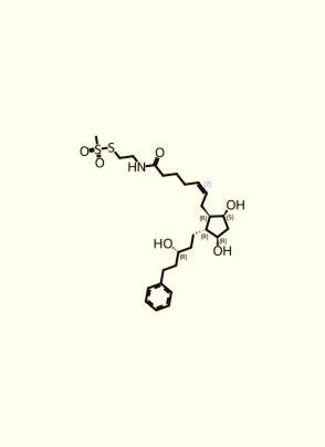 CS(=O)(=O)SCCNC(=O)CCC/C=C\C[C@@H]1[C@@H](CC[C@@H](O)CCc2ccccc2)[C@H](O)C[C@@H]1O